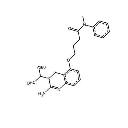 CC(C)COC(C=O)N1Cc2c(cccc2OCCCC(=O)N(C)c2ccccc2)N=C1N